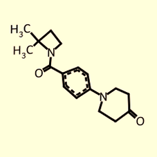 CC1(C)CCN1C(=O)c1ccc(N2CCC(=O)CC2)cc1